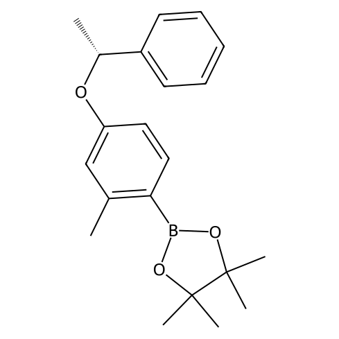 Cc1cc(O[C@H](C)c2ccccc2)ccc1B1OC(C)(C)C(C)(C)O1